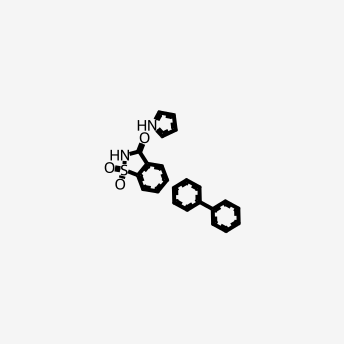 O=C1NS(=O)(=O)c2ccccc21.c1cc[nH]c1.c1ccc(-c2ccccc2)cc1